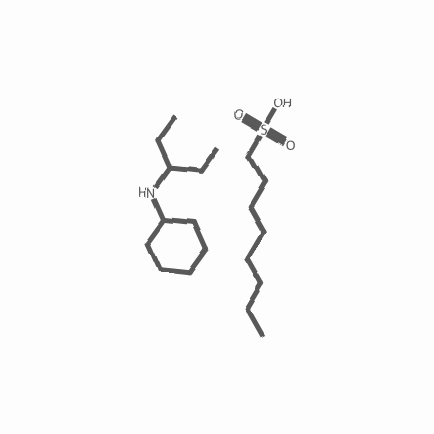 CCC(CC)NC1CCCCC1.CCCCCCCCS(=O)(=O)O